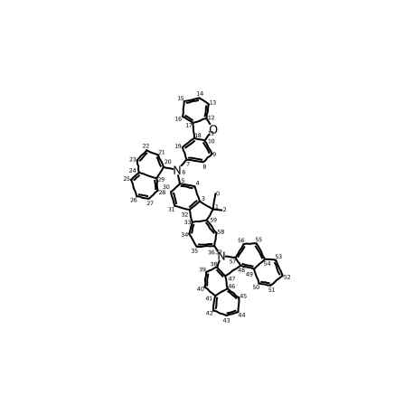 CC1(C)c2cc(N(c3ccc4oc5ccccc5c4c3)c3cccc4ccccc34)ccc2-c2ccc(-n3c4ccc5ccccc5c4c4c5ccccc5ccc43)cc21